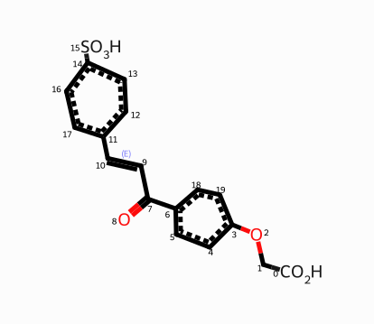 O=C(O)COc1ccc(C(=O)/C=C/c2ccc(S(=O)(=O)O)cc2)cc1